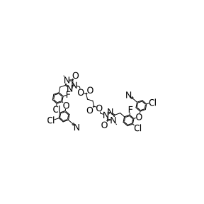 Cn1c(Cc2ccc(Cl)c(Oc3cc(Cl)cc(C#N)c3)c2F)nn(COC(=O)CCC(=O)OCn2nc(Cc3ccc(Cl)c(Oc4cc(Cl)cc(C#N)c4)c3F)n(C)c2=O)c1=O